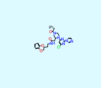 CC(C)CC(=O)N1CCN(c2cc(Cl)nc(-n3ccnc3)n2)C(CC(=O)NCCC2COc3ccccc3O2)C1